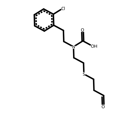 O=CCCSCCN(CCc1ccccc1Cl)C(=O)O